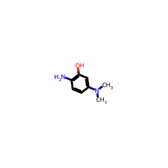 CN(C)c1ccc(N)c(O)c1